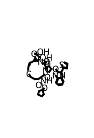 O=C(N[C@@H]1CCCCC/C=C\C2C[C@]2(C(O)C(=O)O)NC(=O)[C@@H]2C[C@@H](Oc3nc4ccccc4nc3-c3cccs3)CN2C1=O)OC1CCCC1